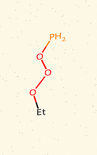 CCOOOP